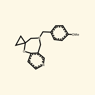 COc1ccc(CN2Cc3cnccc3OC3(CC3)C2)cc1